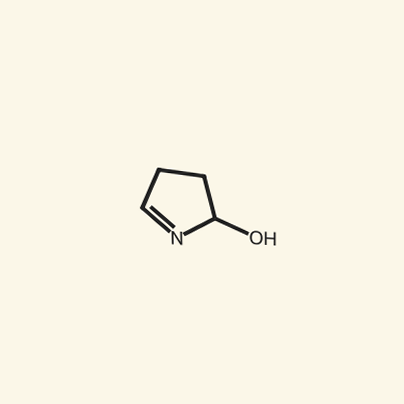 OC1CCC=N1